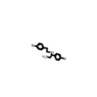 NCC(NCCc1ccc(Br)cc1)c1ccc(Br)cc1